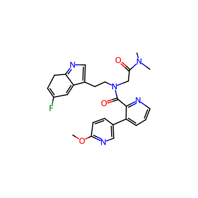 COc1ccc(-c2cccnc2C(=O)N(CCC2=CN=C3CC=C(F)C=C23)CC(=O)N(C)C)cn1